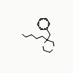 BrCCCCC1(Cc2ccccc2)COCCO1